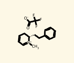 C[N+]1=CC=CC[C@@H]1CCc1ccccc1.O=C([O-])C(F)(F)F